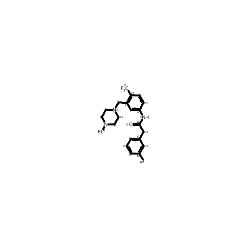 CCN1CCN(Cc2cc(NC(=O)Cc3cccc(I)c3)ccc2C(F)(F)F)CC1